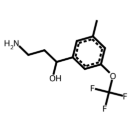 Cc1cc(OC(F)(F)F)cc(C(O)CCN)c1